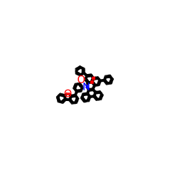 c1ccc(-c2cccc(-c3c(N(c4cccc(-c5cccc6c5oc5ccccc56)c4)c4cccc5c4oc4ccccc45)c4ccccc4c4ccccc34)c2)cc1